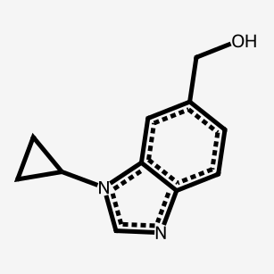 OCc1ccc2ncn(C3CC3)c2c1